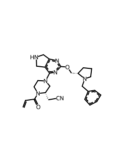 C=CC(=O)N1CCN(c2nc(OC[C@@H]3CCCN3Cc3ccccc3)nc3c2CNC3)C[C@@H]1CC#N